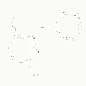 CC(=O)c1ccc(=O)n(Cc2ccccc2)n1